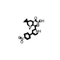 CN1CC2(CC2)C[C@H](C(=O)NO)[C@H]1C(=O)C1CC(c2ccc([N+](=O)[O-])cc2)=CCN1